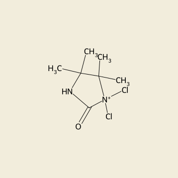 CC1(C)NC(=O)[N+](Cl)(Cl)C1(C)C